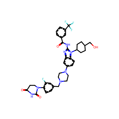 O=C1CCN(c2ccc(CN3CCN(c4ccc5c(c4)nc(NC(=O)c4cccc(C(F)(F)F)c4)n5C4CCC(CO)CC4)CC3)cc2F)C(=O)N1